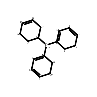 C1=CCCC(P(C2=CC=CCC2)C2CC=CCC2)=C1